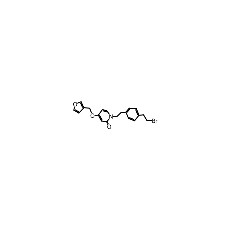 O=c1cc(OCc2ccoc2)ccn1CCc1ccc(CCBr)cc1